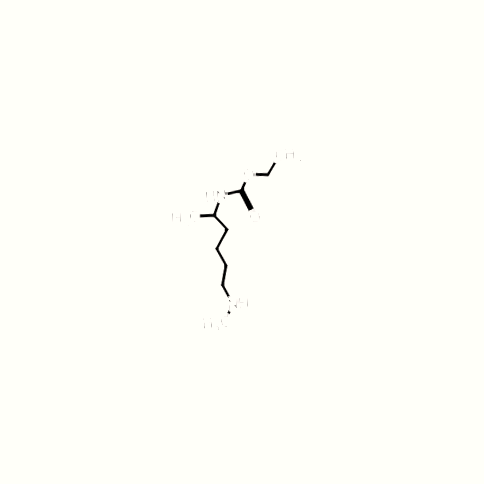 CCOC(=O)NC(C)CCCCNC